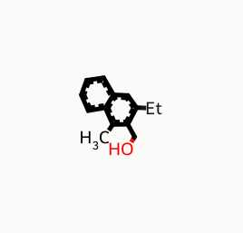 CCc1cc2ccccc2c(C)c1CO